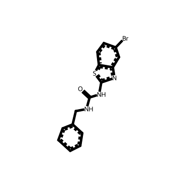 O=C(NCc1ccccc1)Nc1nc2cc(Br)ccc2s1